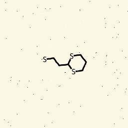 [S]CCC1SCCCS1